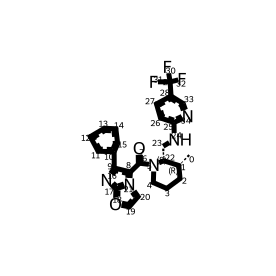 C[C@@H]1CCCN(C(=O)c2c(-c3ccccc3)nc3occn23)[C@@H]1CNc1ccc(C(F)(F)F)cn1